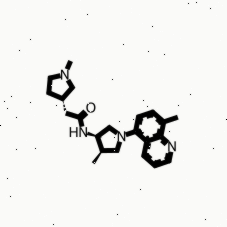 Cc1ccc(N2C[C@@H](C)[C@@H](NC(=O)C[C@@H]3CCN(C)C3)C2)c2cccnc12